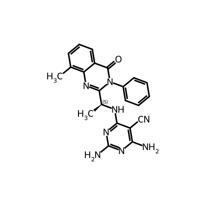 Cc1cccc2c(=O)n(-c3ccccc3)c([C@H](C)Nc3nc(N)nc(N)c3C#N)nc12